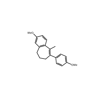 COc1ccc(C2=C(C)c3ccc(OC)cc3CCC2)cc1